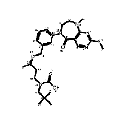 CSc1ncc2c(n1)N(C)CCN(c1cccc(COC(C)CCN(CC(C)(C)C)C(=O)O)c1)C2=O